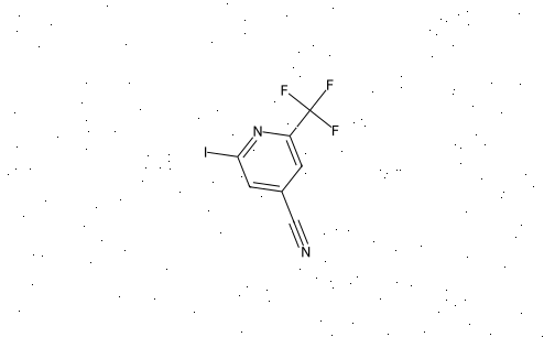 N#Cc1cc(I)nc(C(F)(F)F)c1